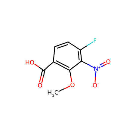 COc1c(C(=O)O)ccc(F)c1[N+](=O)[O-]